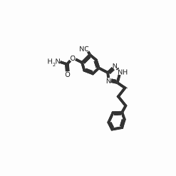 N#Cc1cc(-c2n[nH]c([CH]CCc3ccccc3)n2)ccc1OC(N)=O